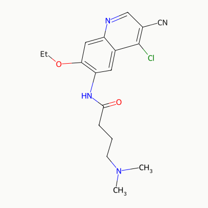 CCOc1cc2ncc(C#N)c(Cl)c2cc1NC(=O)CCCN(C)C